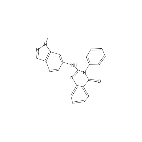 Cn1ncc2ccc(Nc3nc4ccccc4c(=O)n3-c3ccccc3)cc21